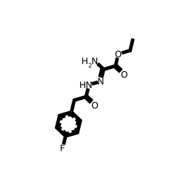 CCOC(=O)C(N)=NNC(=O)Cc1ccc(F)cc1